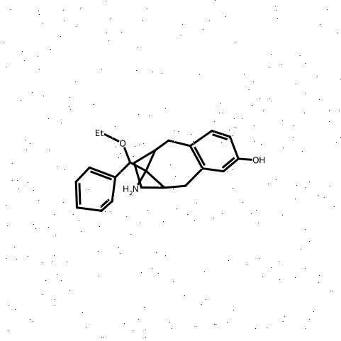 CCOC(c1ccccc1)C1(N)C2CCC1Cc1cc(O)ccc1C2